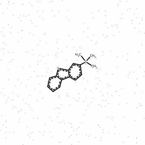 CS(C)(C)c1ccc2c(c1)sc1ccccc12